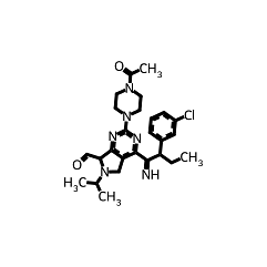 CCC(C(=N)c1nc(N2CCN(C(C)=O)CC2)nc2c1CN(C(C)C)C2C=O)c1cccc(Cl)c1